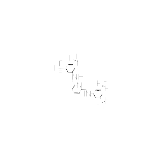 FC(F)(F)c1cc(NCc2cccc(CNc3cc(C(F)(F)F)cc(C(F)(F)F)c3)n2)cc(C(F)(F)F)c1